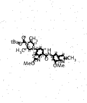 COc1nc2c(C(=O)Nc3cc(OC)c4nn(C)cc4c3)ccc(N3C[C@H](C)N(C(=O)OC(C)(C)C)[C@@H](C)C3)c2s1